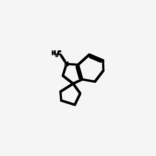 CN1CC2(CCCC2)C2=C1C=CCC2